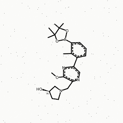 COc1nc(-c2cccc(B3OC(C)(C)C(C)(C)O3)c2C)cnc1CN1CC[C@@H](O)C1